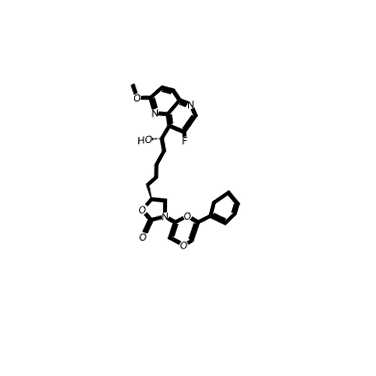 COc1ccc2ncc(F)c([C@@H](O)CCCC[C@H]3CN(C4=COC=C(C5=CC=CCC5)O4)C(=O)O3)c2n1